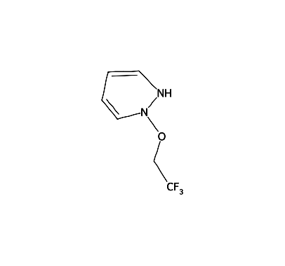 FC(F)(F)CON1C=CC=CN1